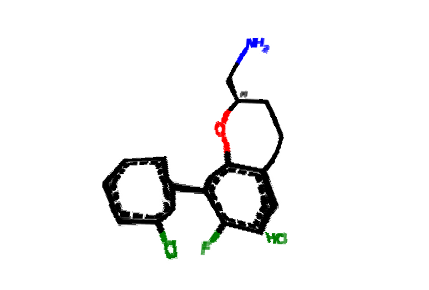 Cl.NC[C@H]1CCc2ccc(F)c(-c3ccccc3Cl)c2O1